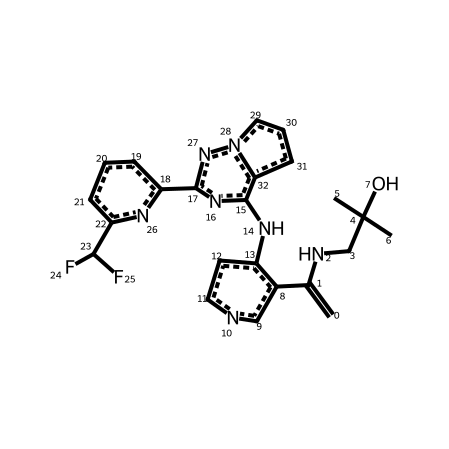 C=C(NCC(C)(C)O)c1cnccc1Nc1nc(-c2cccc(C(F)F)n2)nn2cccc12